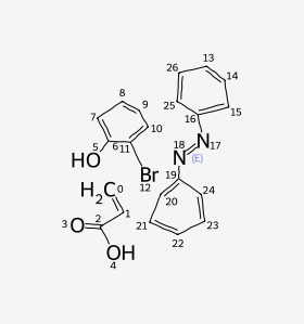 C=CC(=O)O.Oc1ccccc1Br.c1ccc(/N=N/c2ccccc2)cc1